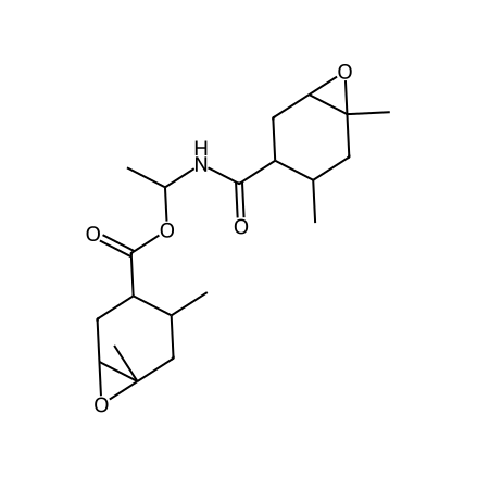 CC(NC(=O)C1CC2OC2(C)CC1C)OC(=O)C1CC2OC2(C)CC1C